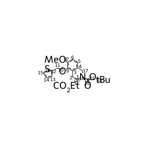 CCOC(=O)[C@@H]1Cc2c(ccc(OC)c2OCc2cccs2)CN1C(=O)OC(C)(C)C